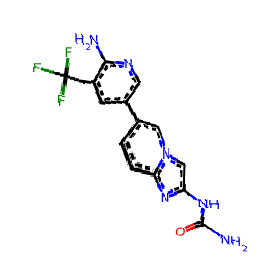 NC(=O)Nc1cn2cc(-c3cnc(N)c(C(F)(F)F)c3)ccc2n1